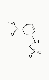 COC(=O)c1cccc(NC[SH](=O)=O)c1